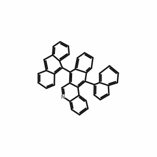 c1ccc2c(-c3c4ccccc4c(-c4c5ccccc5cc5ccccc45)c4cnc5ccccc5c34)cccc2c1